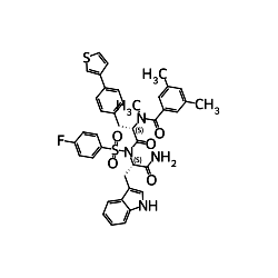 Cc1cc(C)cc(C(=O)N(C)[C@@H](Cc2ccc(-c3ccsc3)cc2)C(=O)N([C@@H](Cc2c[nH]c3ccccc23)C(N)=O)S(=O)(=O)c2ccc(F)cc2)c1